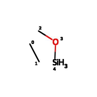 CC.CO[SiH3]